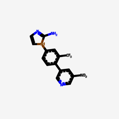 NC1=NC=C[SH]1c1ccc(-c2cncc([N+](=O)[O-])c2)c(C(F)(F)F)c1